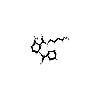 CCCCCOC(=O)c1ccccc1O.O=C(O)c1ccccc1